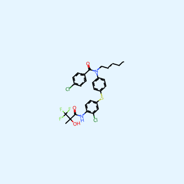 CCCCCN(C(=O)c1ccc(Cl)cc1)c1ccc(Sc2ccc(NC(=O)C(C)(O)C(F)(F)F)c(Cl)c2)cc1